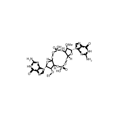 CCO[C@@H]1[C@@H]2OP(=O)(O)OC[C@H]3O[C@@H](n4cnc5c(=O)[nH]c(N)nc54)[C@H](OC)[C@@H]3OP(=O)(O)OC[C@H]2O[C@H]1n1cnc2c(=O)[nH]c(N)nc21